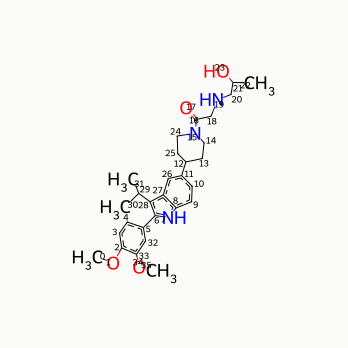 COc1ccc(-c2[nH]c3ccc(C4CCN(C(=O)CNCC(C)O)CC4)cc3c2C(C)C)cc1OC